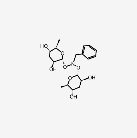 C[C@H]1O[C@H](ON(Cc2ccccc2)O[C@H]2O[C@H](C)[C@@H](O)C[C@@H]2O)[C@@H](O)C[C@@H]1O